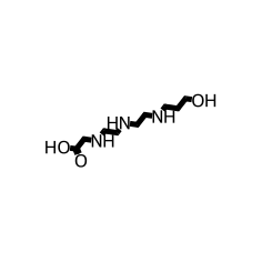 O=C(O)CNCCNCCNCCCO